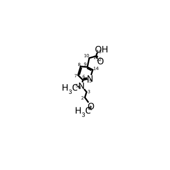 COCCN(C)c1ccc(CC(=O)O)cn1